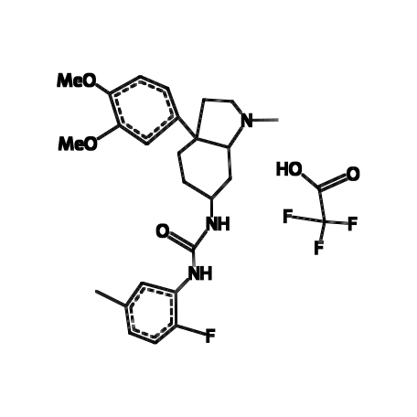 COc1ccc(C23CCC(NC(=O)Nc4cc(C)ccc4F)CC2N(C)CC3)cc1OC.O=C(O)C(F)(F)F